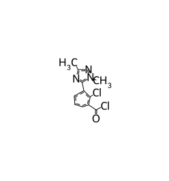 Cc1nc(-c2cccc(C(=O)Cl)c2Cl)n(C)n1